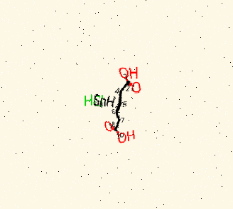 Cl.O=C(O)CCCCC(=O)O.[SnH2]